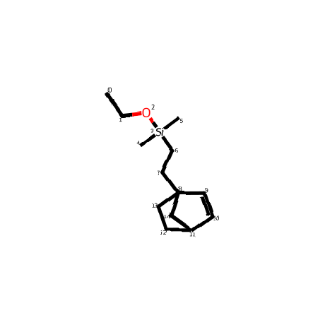 CCO[Si](C)(C)CCC12C=CC(CC1)C2